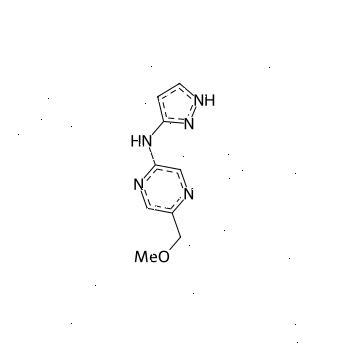 COCc1cnc(Nc2cc[nH]n2)cn1